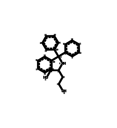 OCCC(CO)NC(c1ccccc1)(c1ccccc1)c1ccccc1